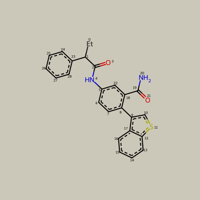 CCC(C(=O)Nc1ccc(-c2csc3ccccc23)c(C(N)=O)c1)c1ccccc1